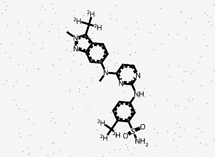 [2H]C([2H])([2H])c1ccc(Nc2nccc(N(C)c3ccc4c(C([2H])([2H])[2H])n(C)nc4c3)n2)cc1S(N)(=O)=O